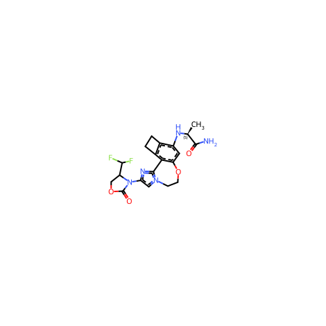 C[C@H](Nc1cc2c(c3c1CC3)-c1nc(N3C(=O)OCC3C(F)F)cn1CCO2)C(N)=O